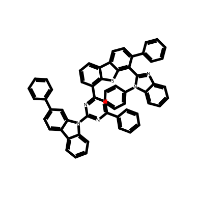 c1ccc(-c2ccc3c4ccccc4n(-c4nc(-c5ccccc5)nc(-c5cccc6c5sc5c(-c7nc8ccccc8n7-c7ccccc7)c(-c7ccccc7)ccc56)n4)c3c2)cc1